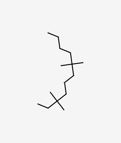 CCCCC(C)(C)C[CH]CC(C)(C)CC